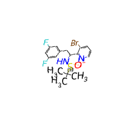 CC(C)(C)[S@@+]([O-])NC(Cc1cc(F)cc(F)c1)c1ncccc1Br